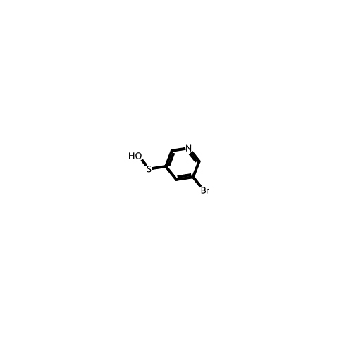 OSc1cncc(Br)c1